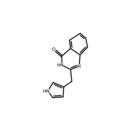 O=c1[nH]c(Cc2cc[nH]c2)nc2ccccc12